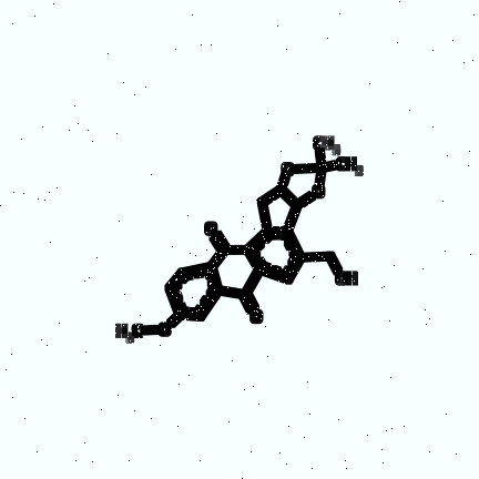 COc1ccc2c(c1)C(=O)c1cc(CO)c3c(c1C2=O)CC1OC(C)(C)OC31